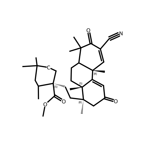 COC(=O)[C@]1(CC[C@]2(C)CC(=O)C=C3[C@@]4(C)C=C(C#N)C(=O)C(C)(C)C4CC[C@]32C)CCC(C)(C)CC1C